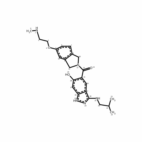 CNCCOc1ccc2c(c1)CN(C(=O)c1cc3c(NCC(C)C)n[nH]c3cc1O)C2